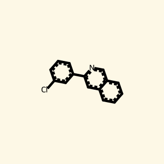 Clc1cccc(-c2cc3ccccc3cn2)c1